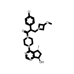 COC1CN(CC(C(=O)N2CCN(c3ncnc4c3[C@H](C)C[C@H]4O)CC2)c2ccc(Cl)cc2)C1